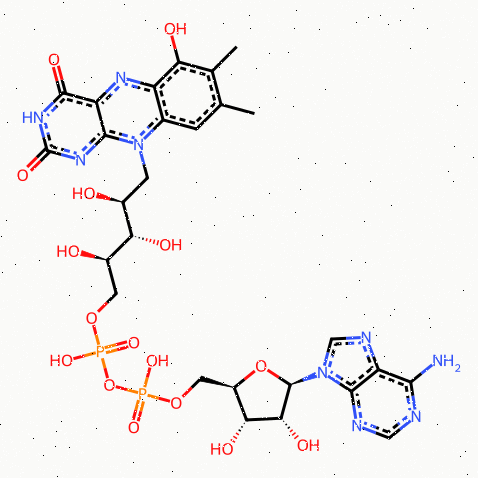 Cc1cc2c(nc3c(=O)[nH]c(=O)nc-3n2C[C@H](O)[C@H](O)[C@H](O)COP(=O)(O)OP(=O)(O)OC[C@H]2O[C@@H](n3cnc4c(N)ncnc43)[C@H](O)[C@@H]2O)c(O)c1C